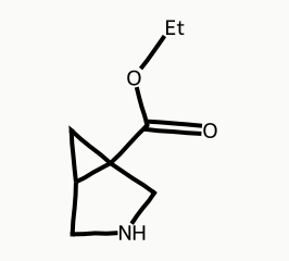 CCOC(=O)C12CNCC1C2